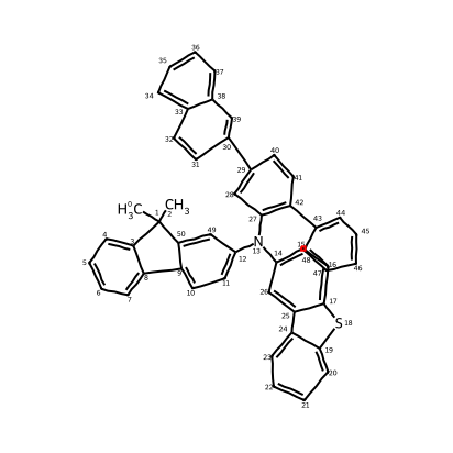 CC1(C)c2ccccc2-c2ccc(N(c3ccc4sc5ccccc5c4c3)c3cc(-c4ccc5ccccc5c4)ccc3-c3ccccc3)cc21